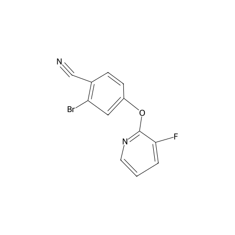 N#Cc1ccc(Oc2ncccc2F)cc1Br